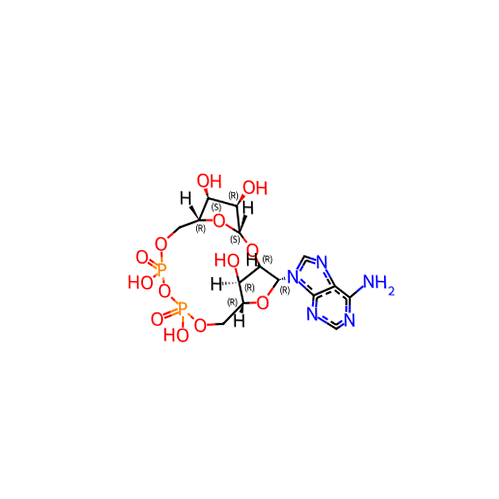 Nc1ncnc2c1ncn2[C@@H]1O[C@@H]2COP(=O)(O)OP(=O)(O)OC[C@H]3O[C@@H](O[C@@H]1[C@@H]2O)[C@H](O)[C@@H]3O